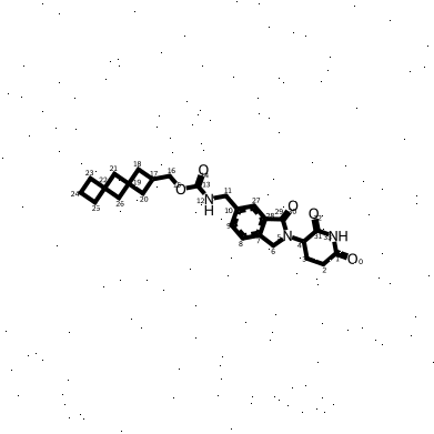 O=C1CCC(N2Cc3ccc(CNC(=O)OCC4CC5(C4)CC4(CCC4)C5)cc3C2=O)C(=O)N1